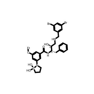 CCOc1cc(C(=O)N[C@@H](Cc2ccccc2)[C@@H](O)CNCc2cc(Br)cc(Br)c2)cc(N2CCCS2(O)O)c1